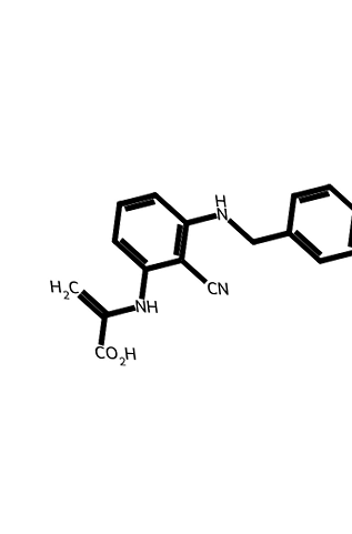 C=C(Nc1cccc(NCc2ccccc2)c1C#N)C(=O)O